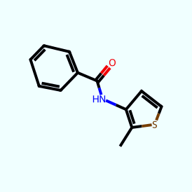 Cc1sccc1NC(=O)c1ccccc1